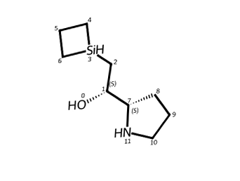 O[C@H](C[SiH]1CCC1)[C@@H]1CCCN1